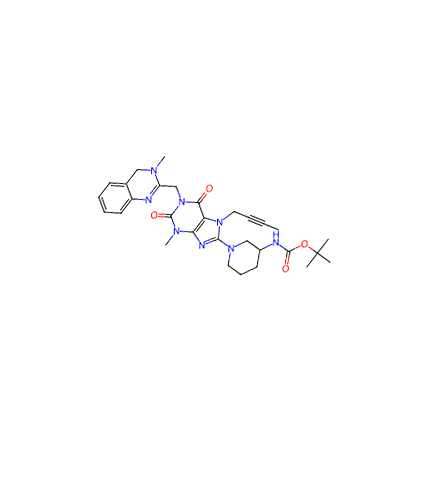 CC#CCn1c(N2CCCC(NC(=O)OC(C)(C)C)C2)nc2c1c(=O)n(CC1=Nc3ccccc3CN1C)c(=O)n2C